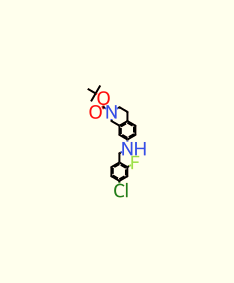 CC(C)(C)OC(=O)N1CCc2ccc(NCc3ccc(Cl)cc3F)cc2C1